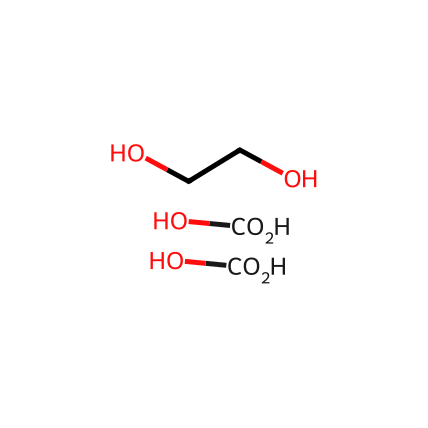 O=C(O)O.O=C(O)O.OCCO